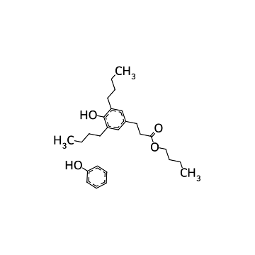 CCCCOC(=O)CCc1cc(CCCC)c(O)c(CCCC)c1.Oc1ccccc1